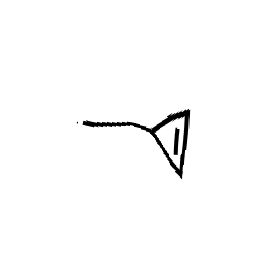 [CH2]C1C=C1